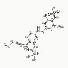 C#Cc1cc(CNC(=O)/C=C\c2ccc(C(F)(F)F)nc2C#CCOC)cc(F)c1NS(C)(=O)=O